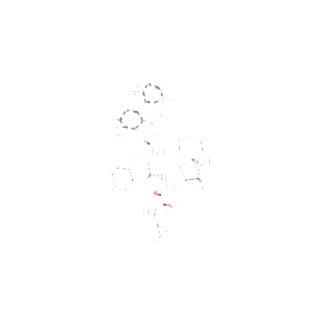 O=C(N[C@@H](CC1CCCCC1)C(=O)NC(CC1CC2(CCCCC2)NC1=O)C(=O)C(=O)NC1CC1)OC(Cc1cccc(Cl)c1)c1cccc(Cl)c1